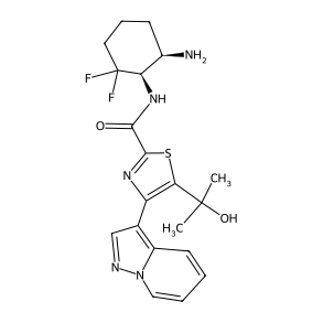 CC(C)(O)c1sc(C(=O)N[C@@H]2[C@H](N)CCCC2(F)F)nc1-c1cnn2ccccc12